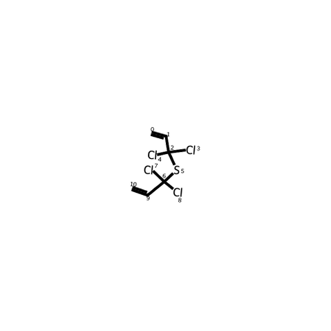 C=CC(Cl)(Cl)SC(Cl)(Cl)C=C